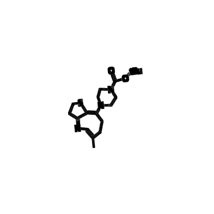 C\C1=C/N=C2/CCS/C2=C(\N2CCN(C(=O)OC(C)(C)C)CC2)CC1